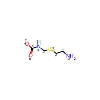 NCCSCNC([O])=O